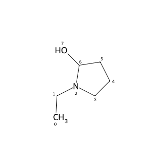 CCN1CCCC1O